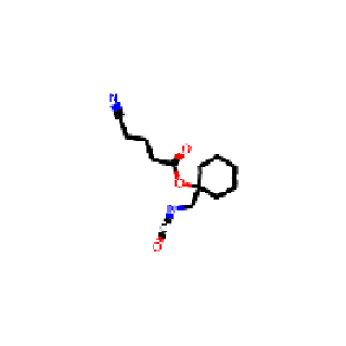 N#CCCCC(=O)OC1(CN=C=O)CCCCC1